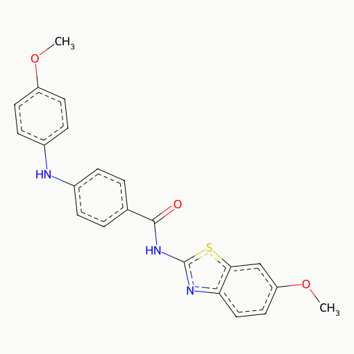 COc1ccc(Nc2ccc(C(=O)Nc3nc4ccc(OC)cc4s3)cc2)cc1